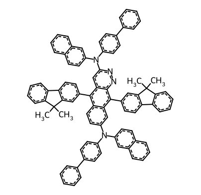 CC1(C)c2ccccc2-c2ccc(-c3c4ccc(N(c5ccc(-c6ccccc6)cc5)c5ccc6ccccc6c5)cc4c(-c4ccc5c(c4)C(C)(C)c4ccccc4-5)c4nnc(N(c5ccc(-c6ccccc6)cc5)c5ccc6ccccc6c5)cc34)cc21